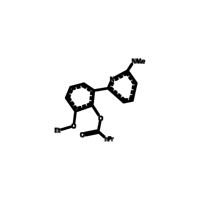 CCCC(=O)Oc1c(OCC)cccc1-c1cccc(NC)n1